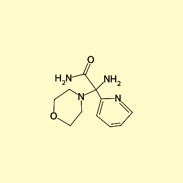 NC(=O)C(N)(c1ccccn1)N1CCOCC1